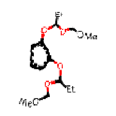 CCC(OCOC)Oc1cccc(OC(CC)OCOC)c1